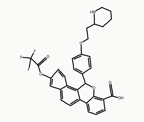 O=C(O)c1cccc2c1OC(c1ccc(OCCC3CCCCN3)cc1)c1c-2ccc2cc(OC(=O)C(F)(F)F)ccc12